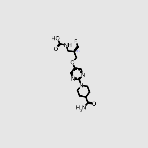 NC(=O)C1CCN(c2ncc(OC/C(=C/F)CNC(=O)O)cn2)CC1